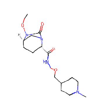 CON1C(=O)N2C[C@H]1CC[C@H]2C(=O)NOCC1CCN(C)CC1